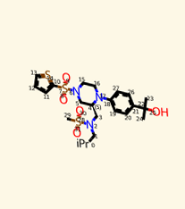 CC(C)CN(C[C@H]1CN(S(=O)(=O)c2cccs2)CCN1c1ccc(C(C)(C)O)cc1)S(C)(=O)=O